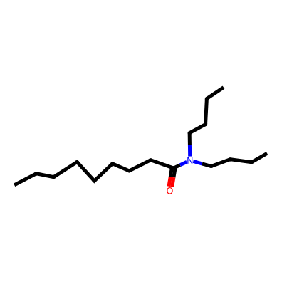 CCCCCCCCC(=O)N(CCCC)CCCC